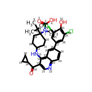 CN(C(=O)O)C1(C(C)(C)C)CCC(Nc2c(C(=O)C3CC3)cnc3ccc(-c4cc(Cl)c(O)c(Cl)c4)cc23)CC1